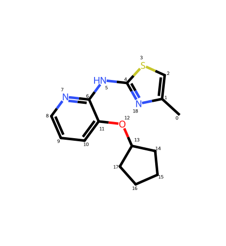 Cc1csc(Nc2ncccc2OC2CCCC2)n1